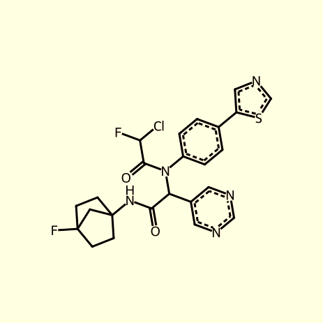 O=C(NC12CCC(F)(CC1)C2)C(c1cncnc1)N(C(=O)C(F)Cl)c1ccc(-c2cncs2)cc1